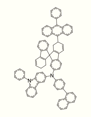 C1=CC2=C(CC1)C1(C3=C(C=CC(c4c5ccccc5c(-c5ccccc5)c5ccccc45)C3)c3ccc(N(c4ccc(-c5cccc6ccccc56)cc4)c4ccc5c(c4)c4ccccc4n5-c4ccccc4)cc31)c1ccccc12